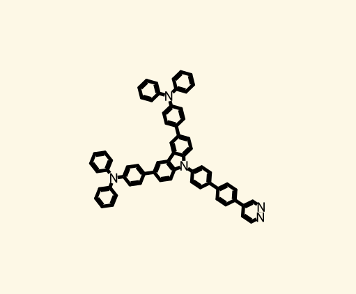 c1ccc(N(c2ccccc2)c2ccc(-c3ccc4c(c3)c3cc(-c5ccc(N(c6ccccc6)c6ccccc6)cc5)ccc3n4-c3ccc(-c4ccc(-c5ccnnc5)cc4)cc3)cc2)cc1